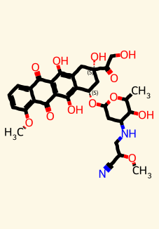 COc1cccc2c1C(=O)c1c(O)c3c(c(O)c1C2=O)C[C@@](O)(C(=O)CO)C[C@@H]3OC1CC(NCC(C#N)OC)C(O)C(C)O1